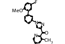 COc1ccc(F)cc1-c1cccc(-n2cnc(C(=O)c3ncccc3C)c2)c1